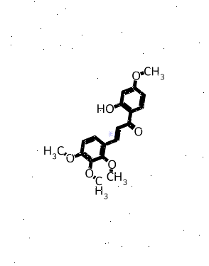 COc1ccc(C(=O)/C=C/c2ccc(OC)c(OC)c2OC)c(O)c1